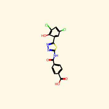 O=C(O)c1ccc(C(=O)Nc2nnc(-c3cc(Cl)cc(Cl)c3O)s2)cc1